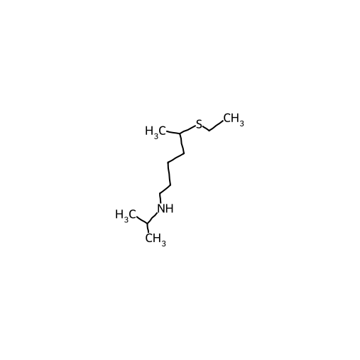 CCSC(C)CCCCNC(C)C